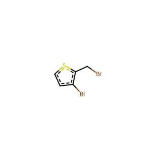 BrCc1sccc1Br